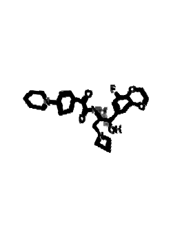 O=C(N[C@H](CN1CCC1)[C@H](O)c1cc(F)c2c(c1)OCCO2)C(=O)c1ccc(N2CCCCC2)cc1